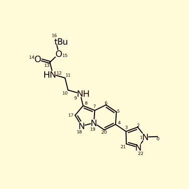 Cn1cc(-c2ccc3c(NCCNC(=O)OC(C)(C)C)cnn3c2)cn1